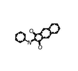 O=c1c(=Nc2ccccc2)c(=O)c2cc3ccccc3cc12